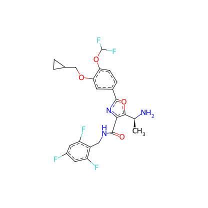 C[C@H](N)c1oc(-c2ccc(OC(F)F)c(OCC3CC3)c2)nc1C(=O)NCc1c(F)cc(F)cc1F